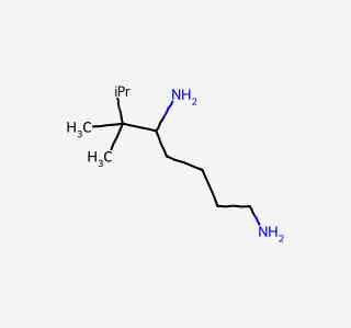 CC(C)C(C)(C)C(N)CCCCN